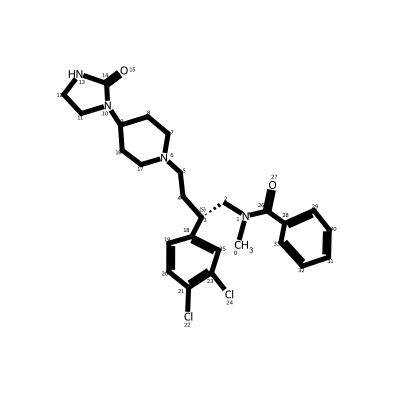 CN(C[C@@H](CCN1CCC(N2CCNC2=O)CC1)c1ccc(Cl)c(Cl)c1)C(=O)c1ccccc1